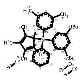 CC(C)[O-].CC(C)[O-].CC(C)[O-].CC1=C(C)C(C)([Si](c2ccccc2)(c2cc(C)cc(C)c2)c2cc(C(C)(C)C)cc(C(C)(C)C)c2)[C]([Ti+3])=C1C